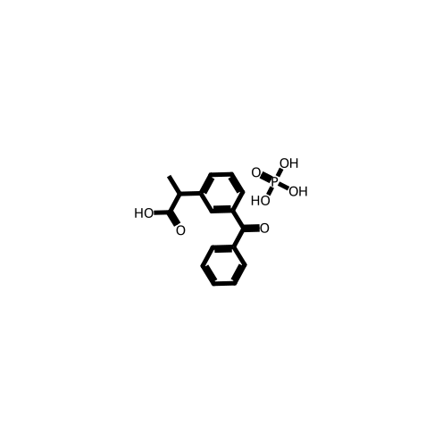 CC(C(=O)O)c1cccc(C(=O)c2ccccc2)c1.O=P(O)(O)O